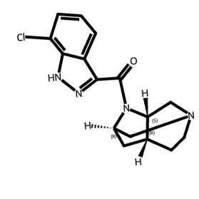 O=C(c1n[nH]c2c(Cl)cccc12)N1[C@@H]2C[C@H]3CCN(C2)C[C@H]31